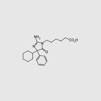 NC1=NC(c2ccccc2)(C2CCCCC2)C(=O)N1CCCCCC(=O)O